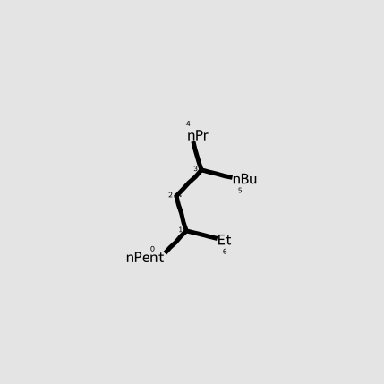 CCCCCC([CH]C(CCC)CCCC)CC